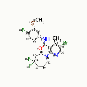 CSc1cc(NC(=O)c2c(N3CCCC(F)(F)CC3)ncc(Br)c2C)ccc1F